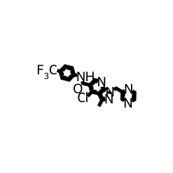 Cc1nn(Cc2cnccn2)c2ncc(C(=O)Nc3ccc(C(F)(F)F)cc3)c(Cl)c12